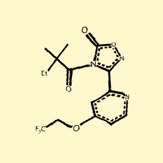 CCC(C)(C)C(=O)n1c(-c2cc(OCC(F)(F)F)ccn2)noc1=O